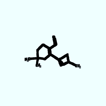 CC1(C)CCC(C=O)=C(C23CC(C)(C2)C3)C1